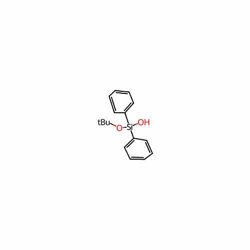 CC(C)(C)O[Si](O)(c1ccccc1)c1ccccc1